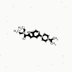 CCN(CC)C(=O)c1cc2cc(N3CCN(C(C)C)CC3)ncc2[nH]1